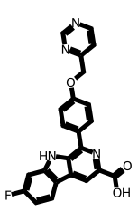 O=C(O)c1cc2c([nH]c3cc(F)ccc32)c(-c2ccc(OCc3ccncn3)cc2)n1